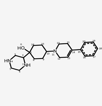 OC1(C2CNCCN2)CCC(N2CC=C(c3ccccc3)CC2)CC1